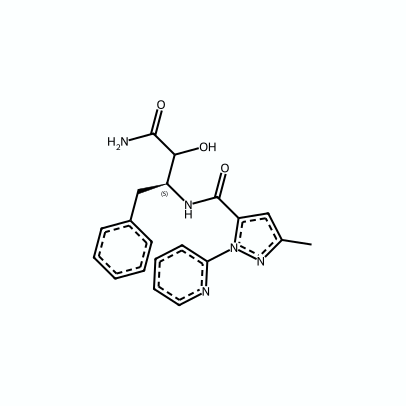 Cc1cc(C(=O)N[C@@H](Cc2ccccc2)C(O)C(N)=O)n(-c2ccccn2)n1